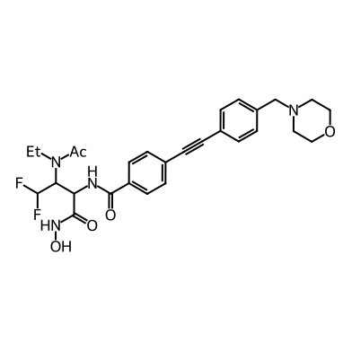 CCN(C(C)=O)C(C(F)F)C(NC(=O)c1ccc(C#Cc2ccc(CN3CCOCC3)cc2)cc1)C(=O)NO